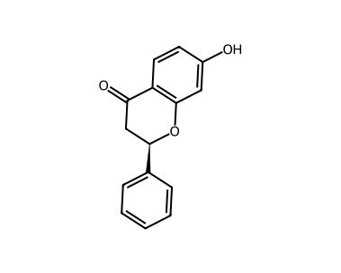 O=C1C[C@H](c2ccccc2)Oc2cc(O)ccc21